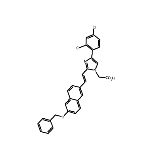 O=C(O)Cn1cc(-c2ccc(Cl)cc2Cl)nc1/C=C/c1ccc2cc(OCc3ccccc3)ccc2c1